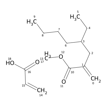 C=C(CC(CC)CCCC)C(=O)OC.C=CC(=O)O